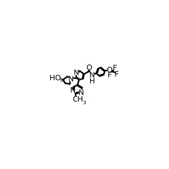 Cc1ncc(-c2cc(C(=O)Nc3ccc(OC(F)(F)F)cc3)cnc2N2CC[C@@H](O)C2)cn1